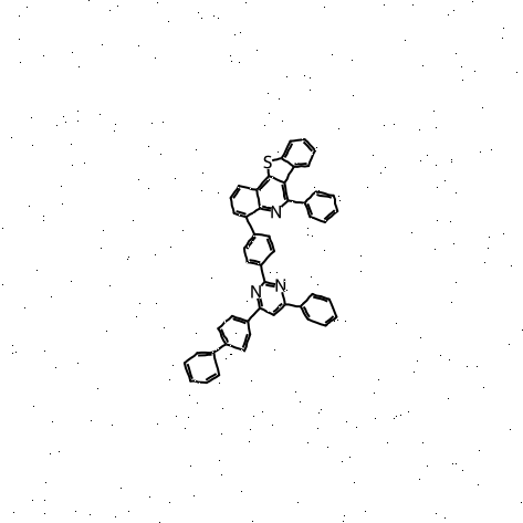 c1ccc(-c2ccc(-c3cc(-c4ccccc4)nc(-c4ccc(-c5cccc6c5nc(-c5ccccc5)c5c7ccccc7sc65)cc4)n3)cc2)cc1